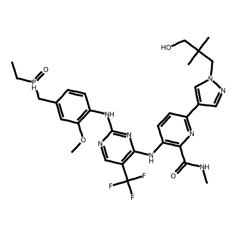 CC[PH](=O)Cc1ccc(Nc2ncc(C(F)(F)F)c(Nc3ccc(-c4cnn(CC(C)(C)CO)c4)nc3C(=O)NC)n2)c(OC)c1